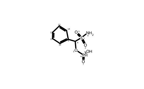 NS(=O)(=O)C(O[PH](=O)O)c1ccccc1